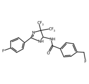 O=C(NC1NC(c2ccc(F)cc2)=NC1(C(F)(F)F)C(F)(F)F)c1ccc(CF)cc1